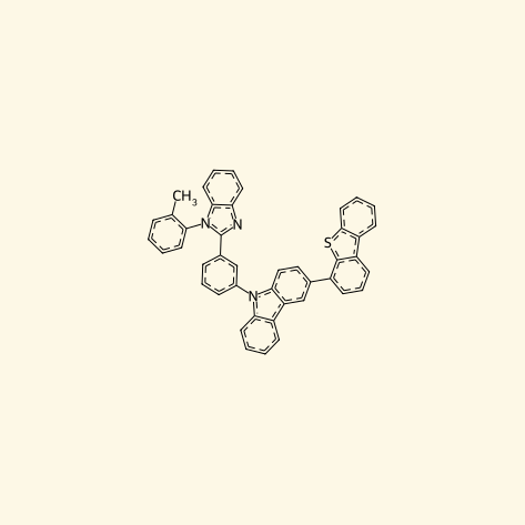 Cc1ccccc1-n1c(-c2cccc(-n3c4ccccc4c4cc(-c5cccc6c5sc5ccccc56)ccc43)c2)nc2ccccc21